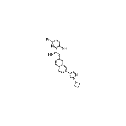 CCc1ccc(=N)n(C(=N)Sc2ccc3ncc(-c4cnn(C5CCC5)c4)cc3c2)n1